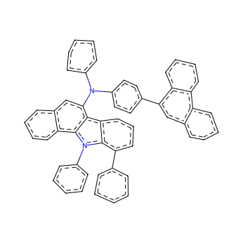 c1ccc(-c2cccc3c4c(N(c5ccccc5)c5ccc(-c6cc7ccccc7c7ccccc67)cc5)cc5ccccc5c4n(-c4ccccc4)c23)cc1